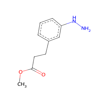 COC(=O)CCc1cccc(NN)c1